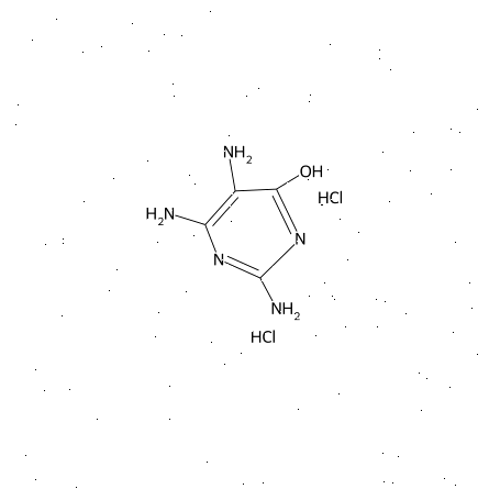 Cl.Cl.Nc1nc(N)c(N)c(O)n1